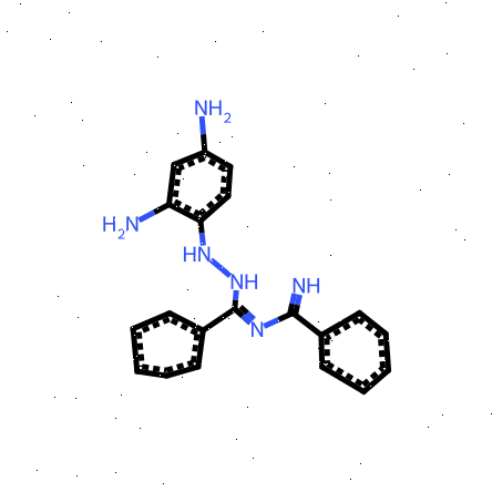 N=C(/N=C(\NNc1ccc(N)cc1N)c1ccccc1)c1ccccc1